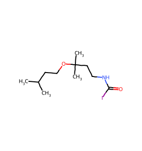 CC(C)CCOC(C)(C)CCNC(=O)I